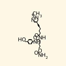 CSc1ncc(C#CCCCC(=O)NC(CCCCOC(N)=O)C(=O)Nc2ccc(CO)cc2)cn1